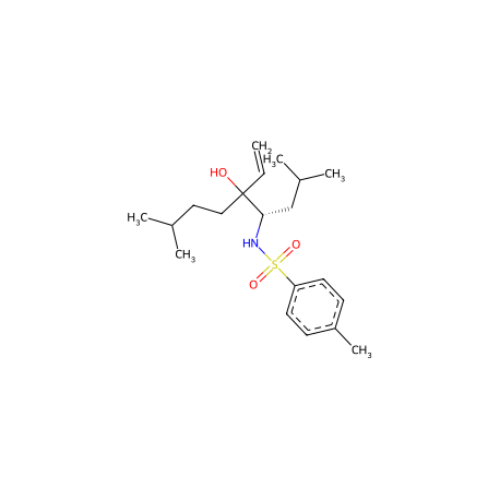 C=CC(O)(CCC(C)C)[C@H](CC(C)C)NS(=O)(=O)c1ccc(C)cc1